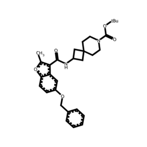 Cc1oc2ccc(OCc3ccccc3)cc2c1C(=O)NC1CC2(CCN(C(=O)OC(C)(C)C)CC2)C1